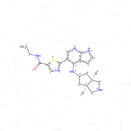 O=C(O)CNC(=O)c1cnc(-c2cnc3[nH]ccc3c2NC2C[C@H]3CNC[C@H]3C2)s1